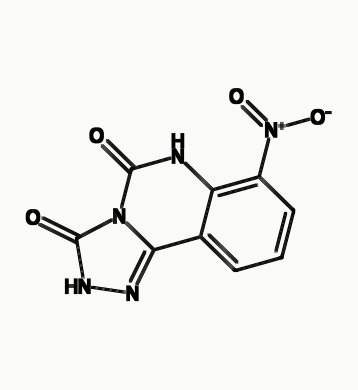 O=c1[nH]nc2c3cccc([N+](=O)[O-])c3[nH]c(=O)n12